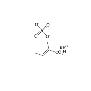 CC=C(C)C(=O)O.O=S(=O)([O-])[O-].[Ba+2]